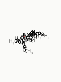 COc1ccc(CNc2nccnc2C(C)N2C=C(Cl)Oc3c(F)c(-c4nc(N(Cc5ccc(OC)cc5)Cc5ccc(OC)cc5)cc(C)c4C(F)(F)F)c(Cl)c4c3=C2NCN=4)cc1